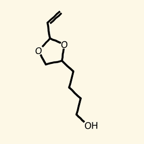 C=CC1OCC(CCCCO)O1